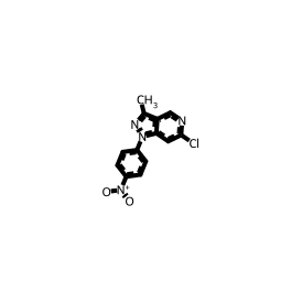 Cc1nn(-c2ccc([N+](=O)[O-])cc2)c2cc(Cl)ncc12